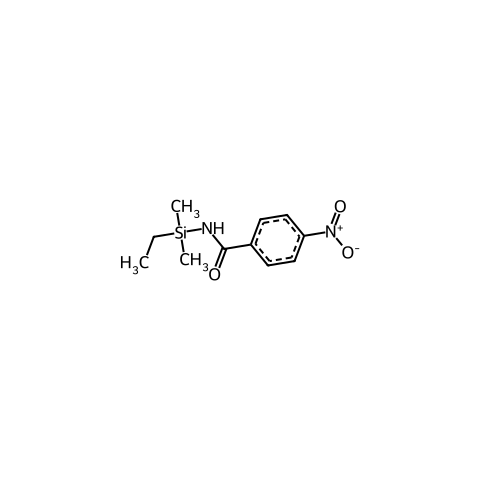 CC[Si](C)(C)NC(=O)c1ccc([N+](=O)[O-])cc1